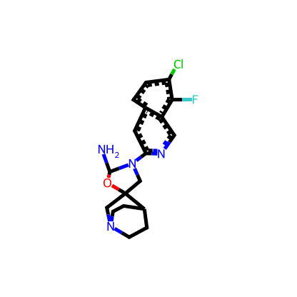 NC1OC2(CN3CCC2CC3)CN1c1cc2ccc(Cl)c(F)c2cn1